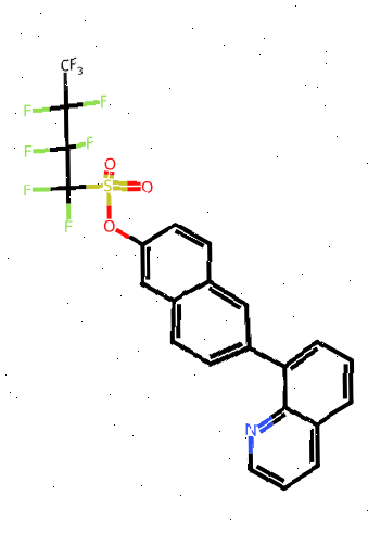 O=S(=O)(Oc1ccc2cc(-c3cccc4cccnc34)ccc2c1)C(F)(F)C(F)(F)C(F)(F)C(F)(F)F